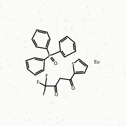 O=C(CC(=O)C(F)(F)F)c1cccs1.O=P(c1ccccc1)(c1ccccc1)c1ccccc1.[Eu]